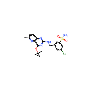 Cc1ccc2nc(NCc3cc(Cl)cc(S(N)(=O)=O)c3)nc(OC3(C)CC3)c2n1